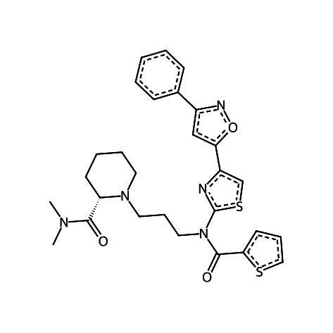 CN(C)C(=O)[C@@H]1CCCCN1CCCN(C(=O)c1cccs1)c1nc(-c2cc(-c3ccccc3)no2)cs1